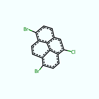 Clc1cc2ccc(Br)c3ccc4c(Br)ccc1c4c23